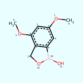 COc1cc(OC)c2c(c1)B(O)OC2